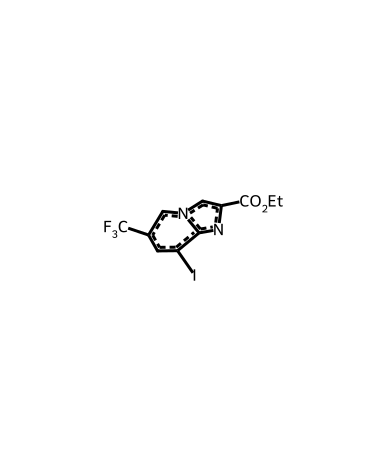 CCOC(=O)c1cn2cc(C(F)(F)F)cc(I)c2n1